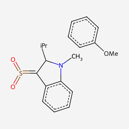 CC(C)C1C(=S(=O)=O)c2ccccc2N1C.COc1ccccc1